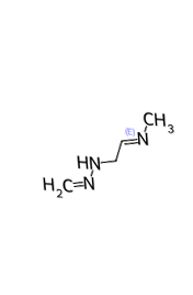 C=NNC/C=N/C